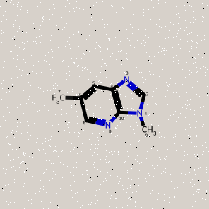 Cn1cnc2cc(C(F)(F)F)cnc21